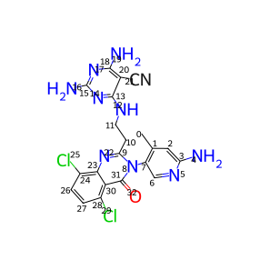 Cc1cc(N)ncc1-n1c(CCNc2nc(N)nc(N)c2C#N)nc2c(Cl)ccc(Cl)c2c1=O